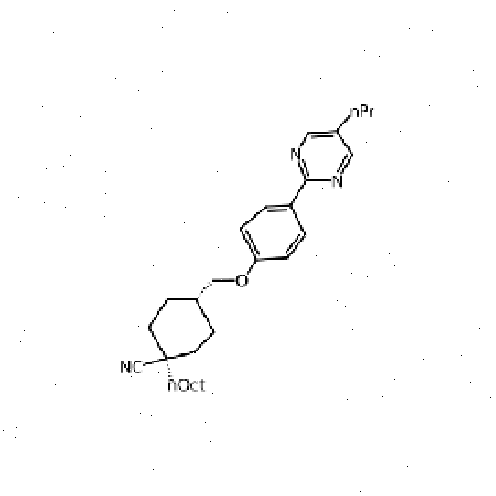 CCCCCCCC[C@]1(C#N)CC[C@H](COc2ccc(-c3ncc(CCC)cn3)cc2)CC1